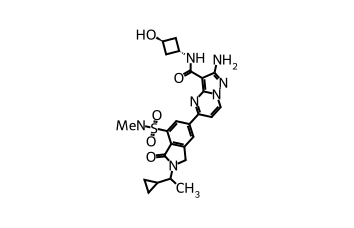 CNS(=O)(=O)c1cc(-c2ccn3nc(N)c(C(=O)N[C@H]4C[C@H](O)C4)c3n2)cc2c1C(=O)N(C(C)C1CC1)C2